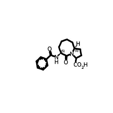 O=C(N[C@H]1CCCC[C@H]2CCC(C(=O)O)N2C1=O)c1ccccc1